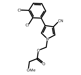 COCC(=O)OCn1cc(C#N)c(-c2cccc(Cl)c2Cl)c1